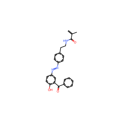 C=C(C)C(=O)NCCc1ccc(/N=N/c2ccc(O)c(C(=O)c3ccccc3)c2)cc1